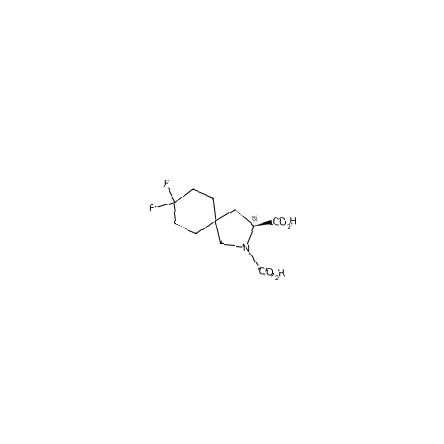 O=C(O)[C@@H]1CC2(CCC(F)(F)CC2)CN1C(=O)O